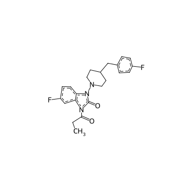 CCC(=O)n1c(=O)n(N2CCC(Cc3ccc(F)cc3)CC2)c2ccc(F)cc21